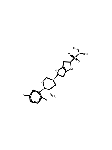 CN(C)S(=O)(=O)C1CC2=C(CC([C@@H]3CO[C@H](c4cc(F)ccc4F)[C@@H](N)C3)N2)N1